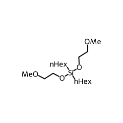 CCCCCC[Si](CCCCCC)(OCCOC)OCCOC